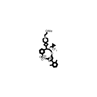 COCCN1CCC2(CC1)CC(C1c3cccc(c3)S(=O)(=O)Nc3nc(cc(-c4c(C)cccc4C)n3)OC[C@H]1CC1(C(F)(F)F)CC1)C2